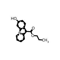 CCCOC(=O)c1c2ccc(O)cc2n2ccccc12